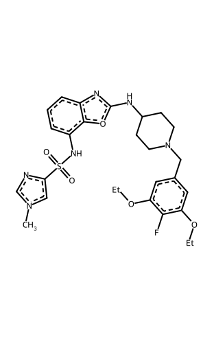 CCOc1cc(CN2CCC(Nc3nc4cccc(NS(=O)(=O)c5cn(C)cn5)c4o3)CC2)cc(OCC)c1F